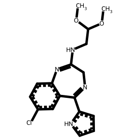 COC(CNC1=Nc2ccc(Cl)cc2C(c2ccc[nH]2)=NC1)OC